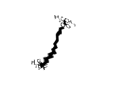 C=C(C)C(=O)OCCCCCCCCCCCCCC(F)(F)[SiH3]